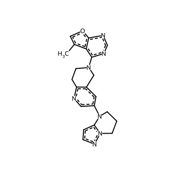 Cc1coc2ncnc(N3CCc4ncc(N5CCCn6nccc65)cc4C3)c12